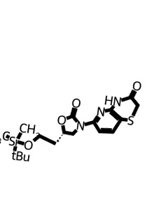 CC(C)(C)[Si](C)(C)OCC[C@H]1CN(c2ccc3c(n2)NC(=O)CS3)C(=O)O1